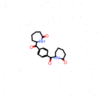 O=C1CCCCC(C(=O)c2ccc(C(=O)C3CCCCC(=O)N3)cc2)N1